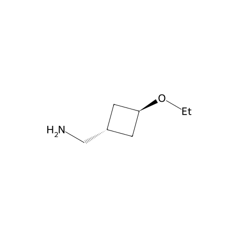 CCO[C@H]1C[C@H](CN)C1